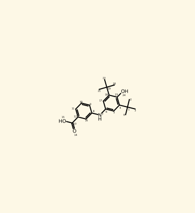 CC(C)(C)c1cc(Nc2cccc(C(=O)O)c2)cc(C(C)(C)C)c1O